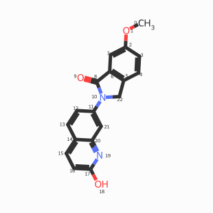 COc1ccc2c(c1)C(=O)N(c1ccc3ccc(O)nc3c1)C2